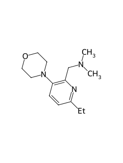 CCc1ccc(N2CCOCC2)c(CN(C)C)n1